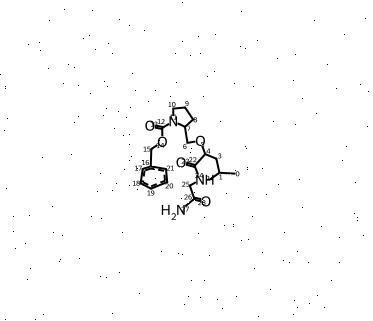 CC(C)CC(OCC1CCCN1C(=O)OCc1ccccc1)C(=O)NCC(N)=O